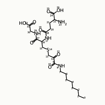 CCCCCCCCNC(=O)C(=O)CSCC(NC(=O)CCC(N)C(=O)O)C(=O)NCC(=O)O